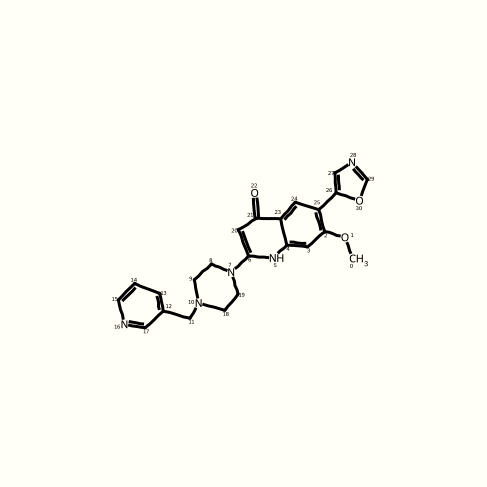 COc1cc2[nH]c(N3CCN(Cc4cccnc4)CC3)cc(=O)c2cc1-c1cnco1